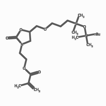 C=C(C)C(=O)OCCN1CC(COCCC[Si](C)(C)O[Si](C)(C)CCCC)OC1=O